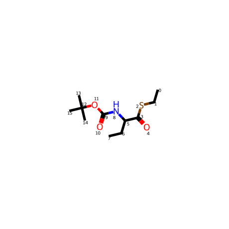 CCSC(=O)C(CC)NC(=O)OC(C)(C)C